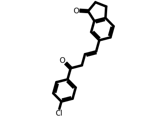 O=C(CC=Cc1ccc2c(c1)C(=O)CC2)c1ccc(Cl)cc1